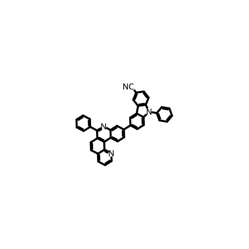 N#Cc1ccc2c(c1)c1cc(-c3ccc4c(c3)nc(-c3ccccc3)c3ccc5cccnc5c34)ccc1n2-c1ccccc1